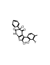 Cc1ccc(-c2c(Cl)sc3c2C(=O)C(Cl)(c2ccccc2)C(=O)N3)c(O)c1F